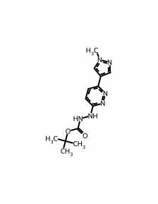 Cn1cc(-c2ccc(NNC(=O)OC(C)(C)C)nn2)cn1